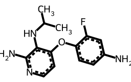 CC(C)Nc1c(Oc2ccc(N)cc2F)ccnc1N